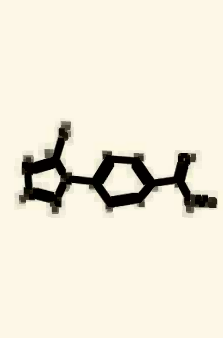 COC(=O)c1ccc(-n2nnnc2[S])cc1